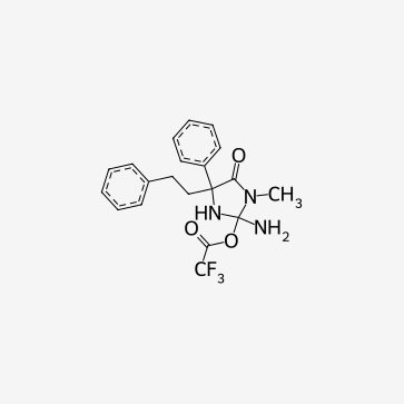 CN1C(=O)C(CCc2ccccc2)(c2ccccc2)NC1(N)OC(=O)C(F)(F)F